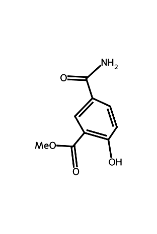 COC(=O)c1cc(C(N)=O)ccc1O